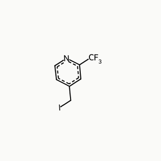 FC(F)(F)c1cc(CI)ccn1